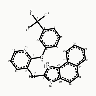 FC(F)(F)c1cccc(Oc2ncccc2Nc2nc3ccc4ccccc4c3[nH]2)c1